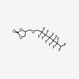 O=C1OCC(COCC(F)(F)C(F)(F)C(F)(F)C(F)(F)C(F)(F)C(F)F)O1